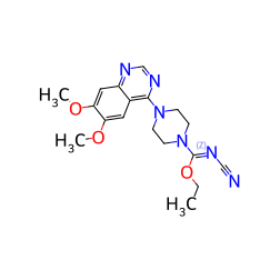 CCO/C(=N\C#N)N1CCN(c2ncnc3cc(OC)c(OC)cc23)CC1